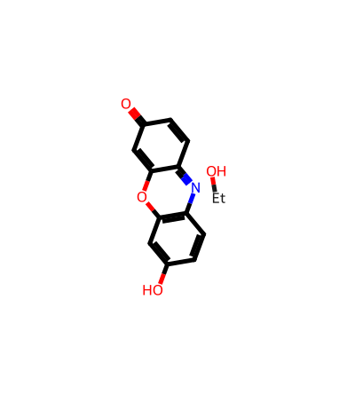 CCO.O=c1ccc2nc3ccc(O)cc3oc-2c1